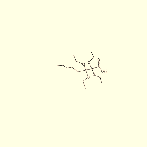 CCCCCC(OCC)(OCC)C(OCC)(OCC)C(=O)O